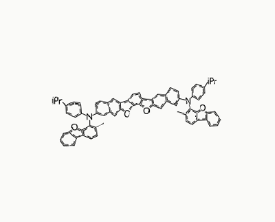 Cc1ccc2c(oc3ccccc32)c1N(c1ccc(C(C)C)cc1)c1ccc2cc3c(cc2c1)oc1c3ccc2c3cc4ccc(N(c5ccc(C(C)C)cc5)c5c(C)ccc6c5oc5ccccc56)cc4cc3oc21